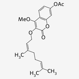 COc1c(OCC=C(C)CCC=C(C)C)c(=O)oc2cc(OC(C)=O)ccc12